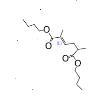 CCCCOC(=O)/C(C)=C/CC(C)C(=O)OCCCC